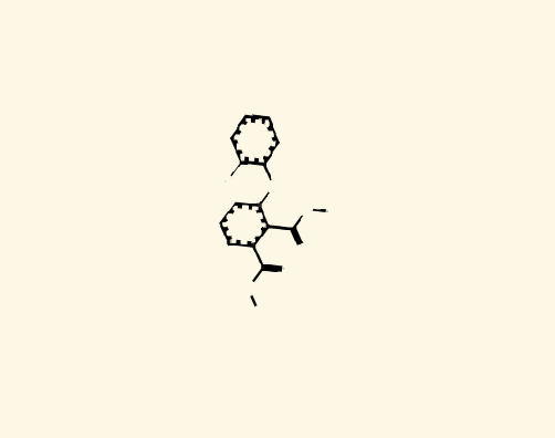 COC(=O)c1cccc(Oc2ccccc2N)c1C(=O)OC